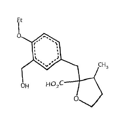 CCOc1ccc(CC2(C(=O)O)OCCC2C)cc1CO